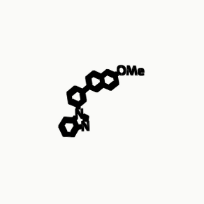 COc1ccc2cc(-c3cccc(-n4cnc5ccccc54)c3)ccc2c1